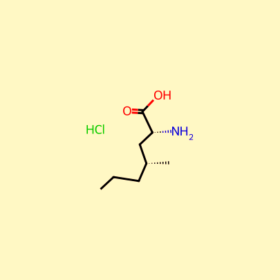 CCC[C@@H](C)C[C@@H](N)C(=O)O.Cl